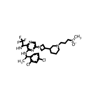 CC(Nc1nc(N2CC(C3CCCN(CCC[S+](C)[O-])C3)C2)cnc1C(=N)C(F)(F)F)c1ccc(Cl)cc1Cl